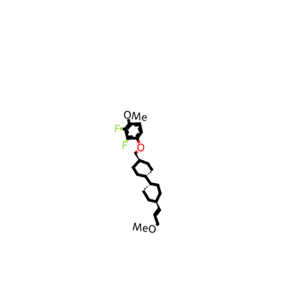 COCC=C[C@H]1CC[C@H]([C@H]2CC[C@H](COc3ccc(OC)c(F)c3F)CC2)CC1